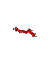 CCC1(C(=O)OC(C)(C)C)CCN(c2ccc(-c3nc(-c4cnn([C@H]5CC[C@H](N6CCC(c7ccc(N[C@@H]8CCC(=O)NC8=O)cc7F)CC6)CC5)c4)cn4ncc(C#N)c34)cn2)CC1